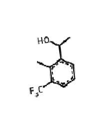 Cc1c(C(C)O)cccc1C(F)(F)F